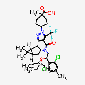 CC[Si](CC)(CC)OC(CN(C(=O)c1cnn(C2CCC(C)(C(=O)O)CC2)c1C(F)(F)F)[C@H]1C[C@@H]2[C@H](C1)C2(C)C)c1c(Cl)cc(C)cc1Cl